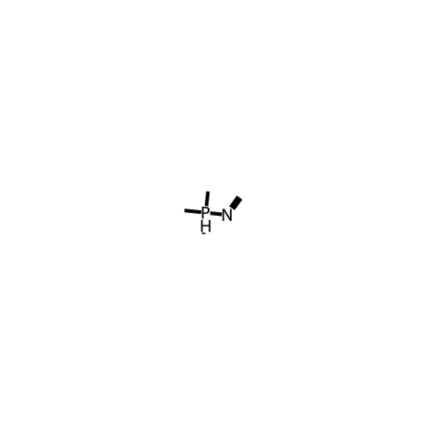 C=N[PH](C)(C)C